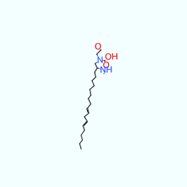 CCCCC/C=C/C/C=C/CCCCCCCCC(CN(CC=O)C(=O)O)NC